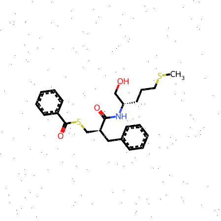 CSCCC[C@@H](CO)NC(=O)[C@H](CSC(=O)c1ccccc1)Cc1ccccc1